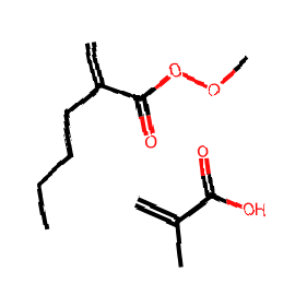 C=C(C)C(=O)O.C=C(CCCC)C(=O)OOC